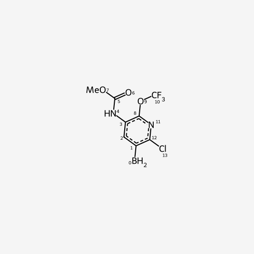 Bc1cc(NC(=O)OC)c(OC(F)(F)F)nc1Cl